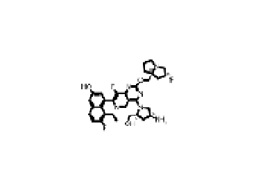 CCc1c(F)ccc2cc(O)cc(-c3ncc4c(N5C[C@@H](N)C[C@H]5CO)nc(OC[C@@]56CCCN5C[C@H](F)C6)nc4c3F)c12